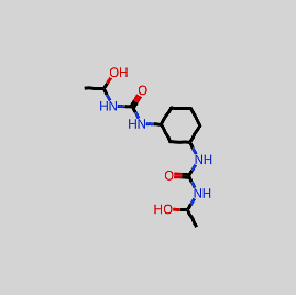 CC(O)NC(=O)NC1CCCC(NC(=O)NC(C)O)C1